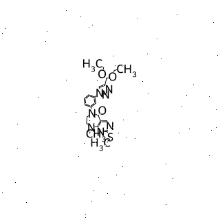 CCOC(OCC)c1cn(-c2cccc(N3CCN(C)c4nc(SC)ncc4C3=O)c2)nn1